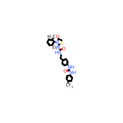 CCc1cccc(C)c1N1C(=O)CS/C1=N\C(=O)NCCc1ccc(NC(=O)Nc2ccc(C(F)(F)F)cc2)cc1